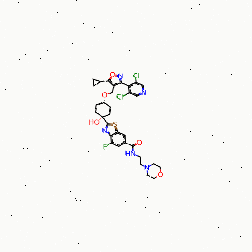 O=C(NCCN1CCOCC1)c1cc(F)c2nc([C@]3(O)CC[C@@H](OCc4c(-c5c(Cl)cncc5Cl)noc4C4CC4)CC3)sc2c1